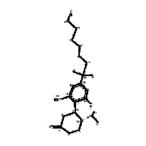 CC(C)[C@@H]1CCC(=O)C[C@H]1c1c(O)cc(C(C)(C)CCCCCCBr)cc1O